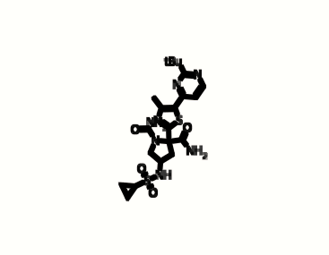 Cc1nc(C2(C(N)=O)CC(NS(=O)(=O)C3CC3)CN2C(N)=O)sc1-c1ccnc(C(C)(C)C)n1